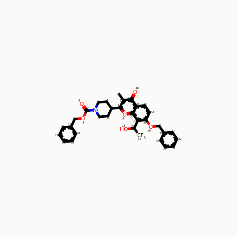 Cc1c(C2CCN(C(=O)OCc3ccccc3)CC2)oc2c(C(O)C(F)(F)F)c(OCc3ccccc3)ccc2c1=O